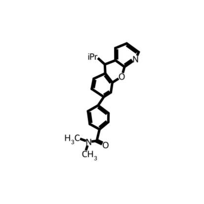 CC(C)C1c2ccc(-c3ccc(C(=O)N(C)C)cc3)cc2Oc2ncccc21